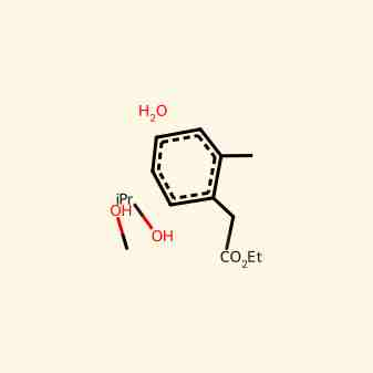 CC(C)O.CCOC(=O)Cc1ccccc1C.CO.O